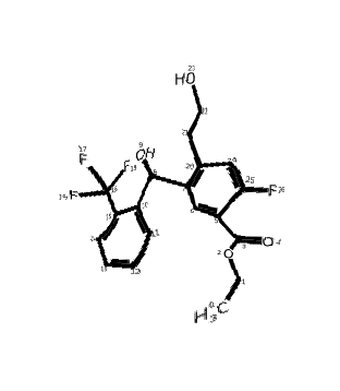 CCOC(=O)c1cc(C(O)c2ccccc2C(F)(F)F)c(CCO)cc1F